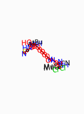 COc1cc(Nc2c(C#N)cnc3cc(OCCCN4CCN(C(=O)CCOCCOCCOCCOCCOCCC(=O)N[C@H](C(=O)N5C[C@H](O)C[C@H]5C(=O)NCc5ccc(-c6scnc6C)cc5)C(C)(C)C)CC4)c(OC)cc23)c(Cl)cc1Cl